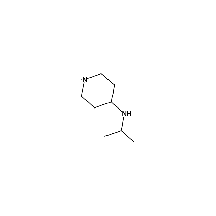 CC(C)NC1CC[N]CC1